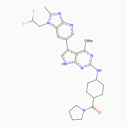 COc1nc(NC2CCC(C(=O)N3CCCC3)CC2)nc2[nH]cc(-c3cnc4nc(C)n(CC(F)F)c4c3)c12